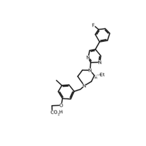 CC[C@@H]1CN(Cc2cc(C)cc(OCC(=O)O)c2)CCN1c1ncc(-c2cccc(F)c2)cn1